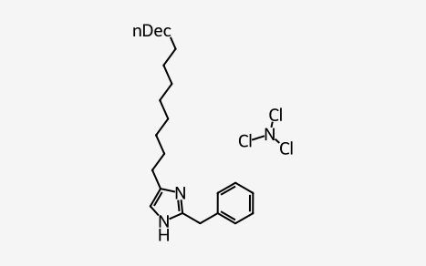 CCCCCCCCCCCCCCCCCCc1c[nH]c(Cc2ccccc2)n1.ClN(Cl)Cl